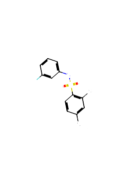 O=[N+]([O-])c1ccc(S(=O)(=O)Nc2cccc(F)c2)c([N+](=O)[O-])c1